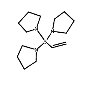 C=CS(N1CCCC1)(N1CCCC1)N1CCCC1